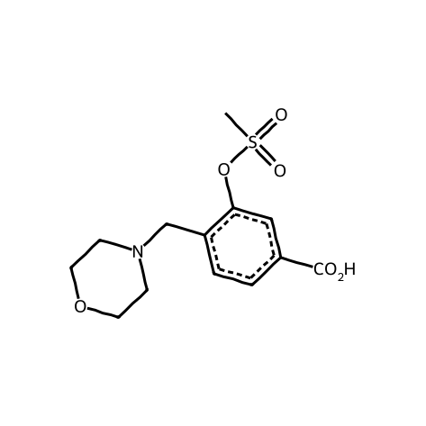 CS(=O)(=O)Oc1cc(C(=O)O)ccc1CN1CCOCC1